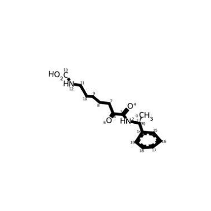 C[C@@H](NC(=O)C(=O)CCCCCNC(=O)O)c1ccccc1